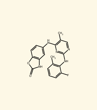 Cc1cnc(Nc2c(C)cccc2F)nc1Nc1ccc2oc(=O)[nH]c2c1